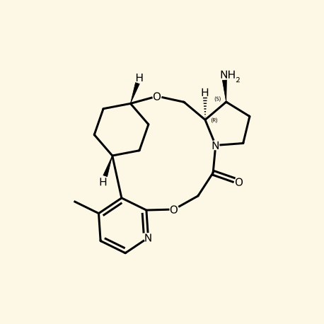 Cc1ccnc2c1[C@H]1CC[C@H](CC1)OC[C@H]1[C@@H](N)CCN1C(=O)CO2